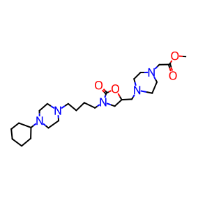 COC(=O)CN1CCN(CC2CN(CCCCN3CCN(C4CCCCC4)CC3)C(=O)O2)CC1